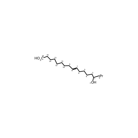 CCCC(O)CCCCC=CCCCCCCCC(=O)O